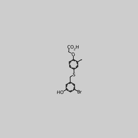 Cc1cc(SCc2cc(O)cc(Br)c2)ccc1OCC(=O)O